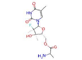 Cc1cn([C@H]2O[C@H](COC(=O)C(C)N)[C@@](C)(O)[C@@]2(C)F)c(=O)[nH]c1=O